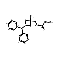 CC1(CNC(=O)OC(C)(C)C)CN(C(c2ccccc2)c2ccccc2)C1